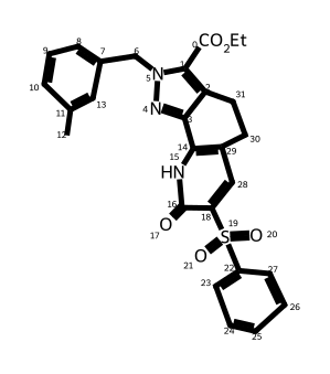 CCOC(=O)c1c2c(nn1Cc1cccc(C)c1)-c1[nH]c(=O)c(S(=O)(=O)c3ccccc3)cc1CC2